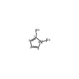 Fc1cccn1F